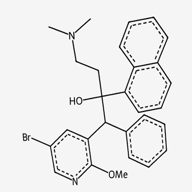 COc1ncc(Br)cc1C(c1ccccc1)C(O)(CCN(C)C)c1cccc2ccccc12